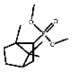 COP(=O)(OC)C1CC2CCC1(C)C2(C)C